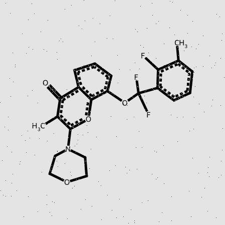 Cc1cccc(C(F)(F)Oc2cccc3c(=O)c(C)c(N4CCOCC4)oc23)c1F